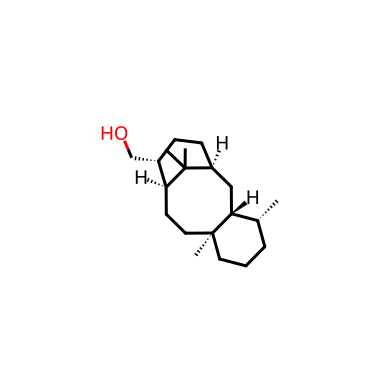 C[C@@H]1CCC[C@@]2(C)CC[C@H]3[C@H](CO)CC[C@@H](C[C@H]12)C3(C)C